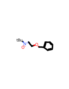 CC(C)(C)[N+]([O-])=CCOCc1ccccc1